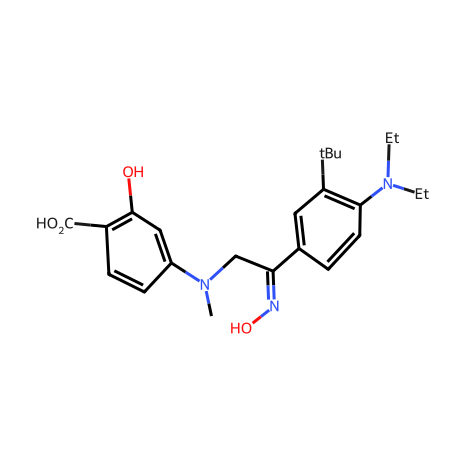 CCN(CC)c1ccc(/C(CN(C)c2ccc(C(=O)O)c(O)c2)=N/O)cc1C(C)(C)C